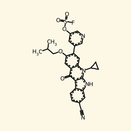 CC(C)COc1cc2c(=O)c3c4ccc(C#N)cc4[nH]c3n(C3CC3)c2cc1-c1cncc(OS(=O)(=O)F)c1